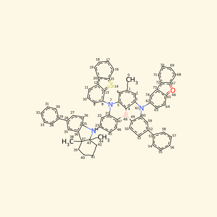 Cc1cc2c3c(c1)N(c1cccc4c1sc1ccccc14)c1cc(N4c5ccc(-c6ccccc6)cc5C5(C)CCCCC45C)ccc1B3c1ccc(-c3ccccc3)cc1N2c1ccc2oc3ccccc3c2c1